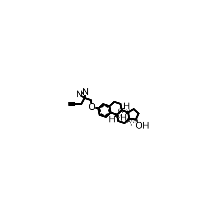 C#CCC1(COc2ccc3c(c2)CC[C@@H]2[C@@H]3CC[C@]3(C)[C@@H](O)CC[C@@H]23)N=N1